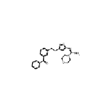 NC(=Nc1cc(CCc2cccc(C(=O)c3ccccc3)c2)no1)N1CCOCC1